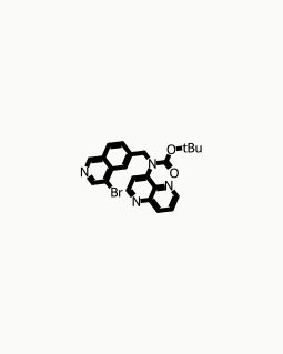 CC(C)(C)OC(=O)N(Cc1ccc2cncc(Br)c2c1)c1ccnc2cccnc12